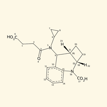 O=C(O)CCC(=O)N(C1CC1)C1c2ccccc2N(C(=O)O)[C@H]2CC[C@@H]12